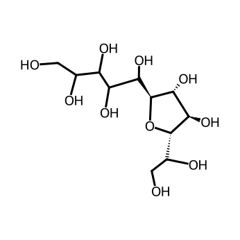 OCC(O)C(O)C(O)C(O)[C@@H]1O[C@@H](C(O)CO)[C@H](O)[C@H]1O